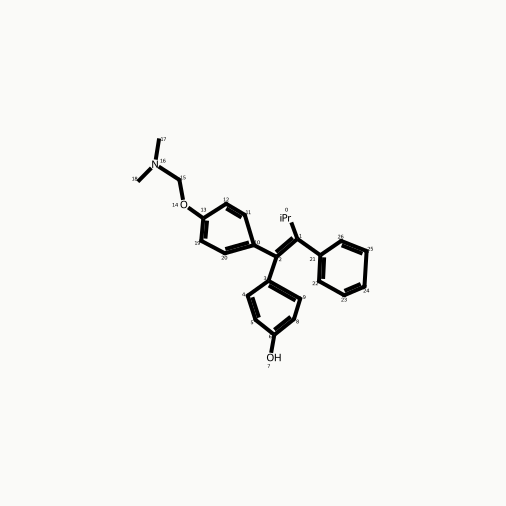 CC(C)C(=C(c1ccc(O)cc1)c1ccc(OCN(C)C)cc1)c1ccccc1